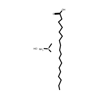 CCCCCCCCCCCCCCCCCC(=O)O.CN(C)C.Cl.N